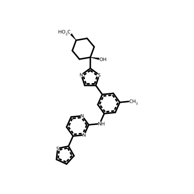 Cc1cc(Nc2nccc(-c3cccs3)n2)cc(-c2cnc([C@]3(O)CC[C@@H](C(=O)O)CC3)s2)c1